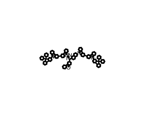 c1ccc(C2(c3ccccc3)c3ccccc3-c3ccc(-n4c5ccccc5c5cc(-c6ccc7c(c6)c6ccccc6n7-c6ccc7c(ccc8c(-c9ccc%10oc%11ccccc%11c%10c9)nc(-n9c%10ccccc%10c%10cc(-c%11ccc%12c(c%11)c%11ccccc%11n%12-c%11ccc%12c(c%11)C(c%11ccccc%11)(c%11ccccc%11)c%11ccccc%11-%12)ccc%109)nc87)c6)ccc54)cc32)cc1